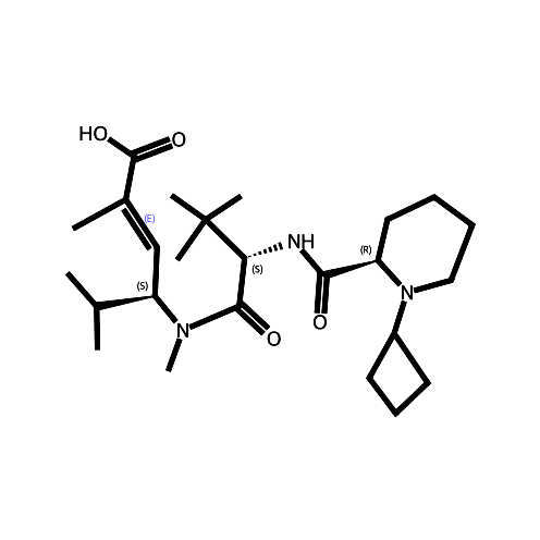 C/C(=C\[C@H](C(C)C)N(C)C(=O)[C@@H](NC(=O)[C@H]1CCCCN1C1CCC1)C(C)(C)C)C(=O)O